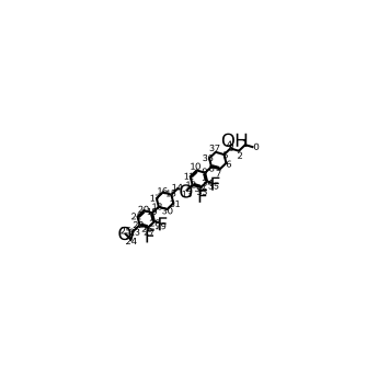 CCCC(O)C1CC=C(c2ccc(OCC3CCC(c4ccc(C5CO5)c(F)c4F)CC3)c(F)c2F)CC1